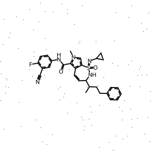 CC(CCc1ccccc1)C1C=Cc2c(cn(C)c2C(=O)Nc2ccc(F)c(C#N)c2)S(=O)(=NC2CC2)N1